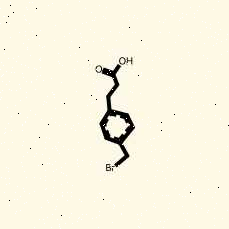 O=C(O)CCc1ccc(CBr)cc1